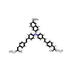 [C-]#[N+]/C(=C\c1ccc(/C=C/c2ccc(N(c3ccc(/C=C/c4ccc(/C=C(\[N+]#[C-])C(=O)O)cc4)cc3)c3ccc4cc(OC)ccc4c3)cc2)cc1)C(=O)O